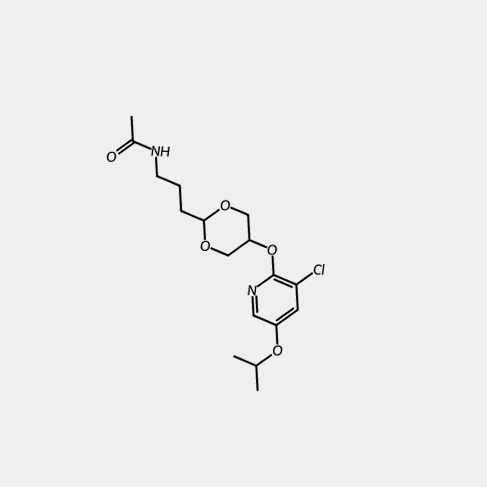 CC(=O)NCCCC1OCC(Oc2ncc(OC(C)C)cc2Cl)CO1